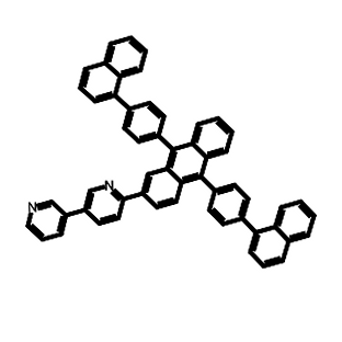 c1cncc(-c2ccc(-c3ccc4c(-c5ccc(-c6cccc7ccccc67)cc5)c5ccccc5c(-c5ccc(-c6cccc7ccccc67)cc5)c4c3)nc2)c1